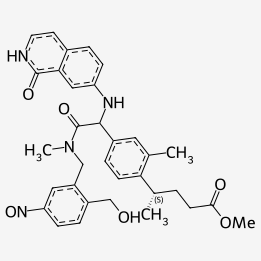 COC(=O)CC[C@H](C)c1ccc(C(Nc2ccc3cc[nH]c(=O)c3c2)C(=O)N(C)Cc2cc(N=O)ccc2CO)cc1C